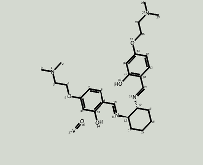 CN(C)CCOc1ccc(C=N[C@@H]2CCCC[C@H]2N=Cc2ccc(OCCN(C)C)cc2O)c(O)c1.[O]=[V]